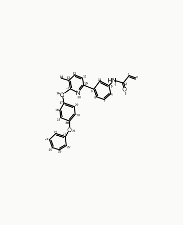 C=CC(=O)Nc1cccc(-c2ccc(C)c(Oc3ccc(Oc4ccccc4)cc3)n2)c1